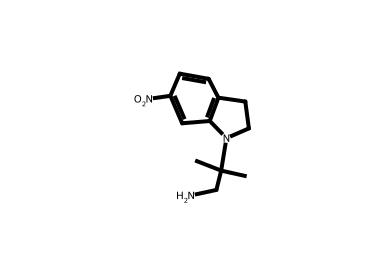 CC(C)(CN)N1CCc2ccc([N+](=O)[O-])cc21